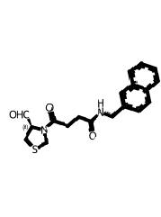 O=C[C@@H]1CSCN1C(=O)CCC(=O)NCc1ccc2ccccc2c1